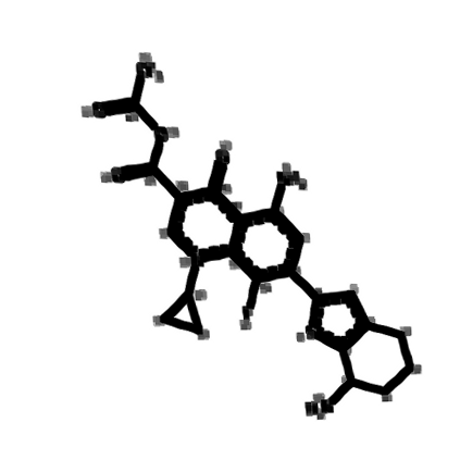 Nc1cc(-c2cc3c(s2)C(N)CCC3)c(F)c2c1c(=O)c(C(=O)OC(=O)C(F)(F)F)cn2C1CC1